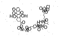 COc1cccc2c1C(=O)c1c(O)c3c(c(O)c1C2=O)CC(C(=O)COC(=O)N(C)CCN(C)C(=O)OCc1ccc(NC(=O)[C@H](C)NC(=O)C(NC(=O)CCCCCN2C(=O)C=C(Cl)S2(=O)=O)C(C)C)cc1)CC3